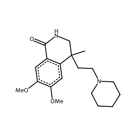 COc1cc2c(cc1OC)C(C)(CCN1CCCCC1)CNC2=O